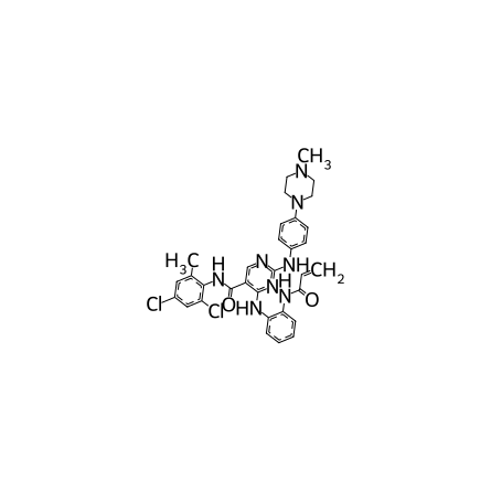 C=CC(=O)Nc1ccccc1Nc1nc(Nc2ccc(N3CCN(C)CC3)cc2)ncc1C(=O)Nc1c(C)cc(Cl)cc1Cl